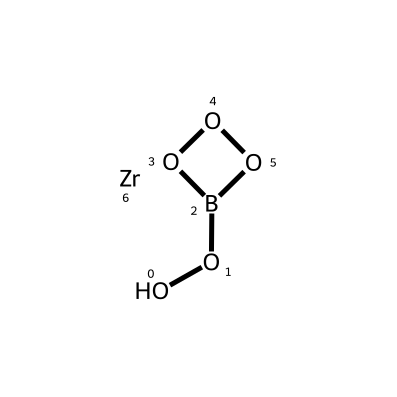 OOB1OOO1.[Zr]